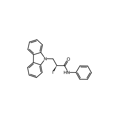 O=C(Nc1ccccc1)[C@@H](I)Cn1c2ccccc2c2ccccc21